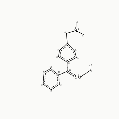 CCCl.CN(C)Cc1ccc(C(=O)c2ccccc2)cc1